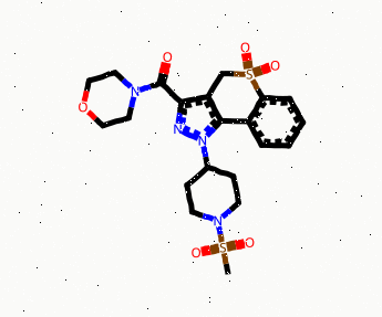 CS(=O)(=O)N1CCC(n2nc(C(=O)N3CCOCC3)c3c2-c2ccccc2S(=O)(=O)C3)CC1